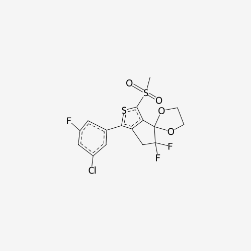 CS(=O)(=O)c1sc(-c2cc(F)cc(Cl)c2)c2c1C1(OCCO1)C(F)(F)C2